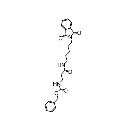 O=C(CCNC(=O)OCc1ccccc1)NCCCCCN1C(=O)c2ccccc2C1=O